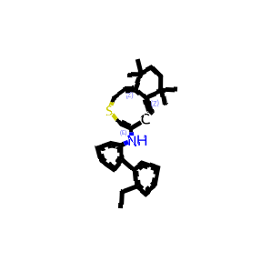 CCc1ccccc1-c1ccccc1N/C1=C/SC/C=C2\C(=C/C1)C(C)(C)CCC2(C)C